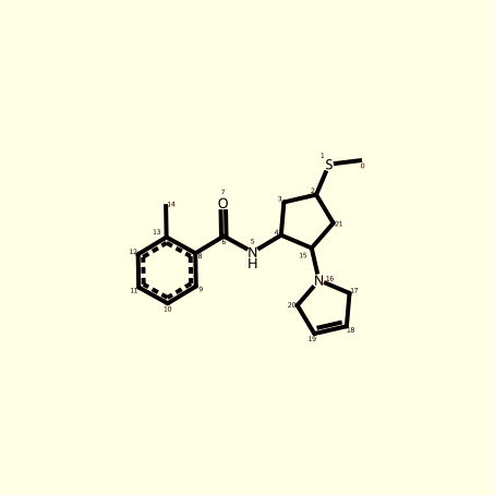 CSC1CC(NC(=O)c2ccccc2C)C(N2CC=CC2)C1